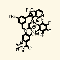 COc1cc(C(=O)N(C)S(C)(=O)=O)ccc1N(Cc1cc(C2CC2)cc(C(C)(C)C)c1)C(=O)CN(Cc1cnccc1C(F)(F)F)S(=O)(=O)c1c(F)c(F)c(F)c(F)c1F